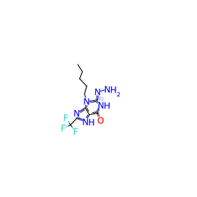 CCCCCn1/c(=N/N)[nH]c(=O)c2[nH]c(C(F)(F)F)nc21